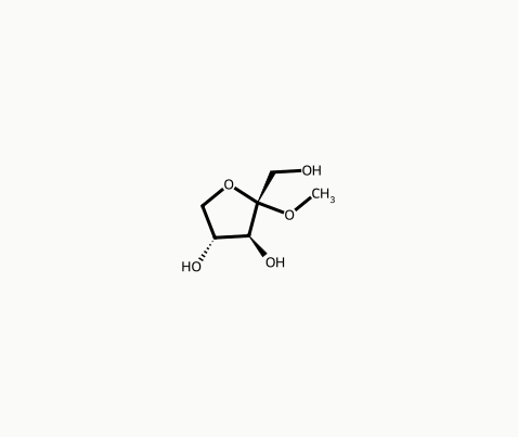 CO[C@@]1(CO)OC[C@@H](O)[C@@H]1O